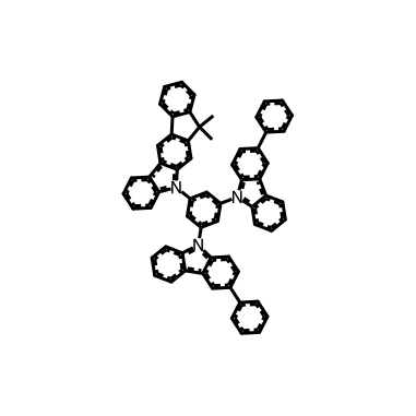 CC1(C)c2ccccc2-c2cc3c4ccccc4n(-c4cc(-n5c6ccccc6c6cc(-c7ccccc7)ccc65)cc(-n5c6ccccc6c6cc(-c7ccccc7)ccc65)c4)c3cc21